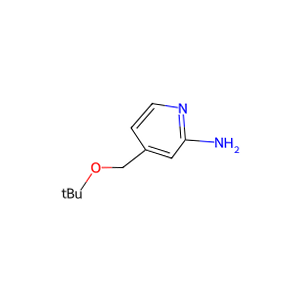 CC(C)(C)OCc1ccnc(N)c1